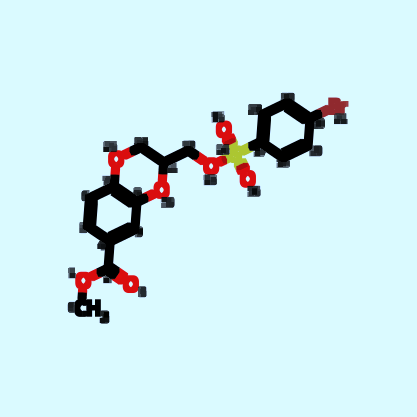 COC(=O)c1ccc2c(c1)OC(COS(=O)(=O)c1ccc(Br)cc1)CO2